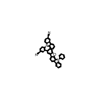 N#CC1=CC2c3ccccc3N(c3ccc(C#N)cc3-c3ccc4oc5c(ccc6c7ccccc7n(-c7ccccc7)c65)c4c3)C2C=C1